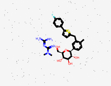 CN(C)C(=N)N=C(N)N.Cc1ccc([C@@H]2O[C@H](CO)[C@@H](O)[C@H](O)[C@H]2O)cc1Cc1ccc(-c2ccc(F)cc2)s1